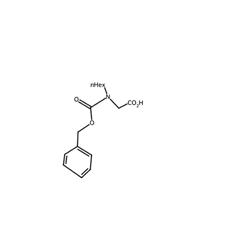 CCCCCCN(CC(=O)O)C(=O)OCc1ccccc1